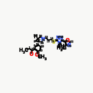 CCC(=O)c1cc([C@]23C[C@H]2CN(CCCSc2nnc(-c4ocnc4C)n2C)C3)ccc1OC